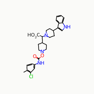 Cc1ccc(NC(=O)ON2CCC(C(C(=O)O)N3CCC(c4c[nH]c5ccccc45)CC3)CC2)cc1Cl